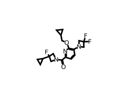 O=C(c1ccc(N2CC(F)(F)C2)c(OCC2CC2)n1)N1CC(F)(C2CC2)C1